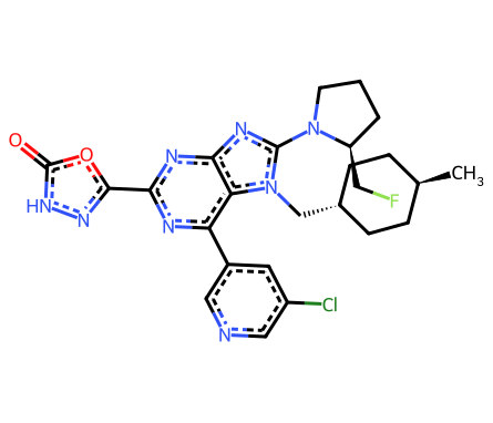 C[C@H]1CC[C@H](Cn2c(N3CCC[C@H]3CF)nc3nc(-c4n[nH]c(=O)o4)nc(-c4cncc(Cl)c4)c32)CC1